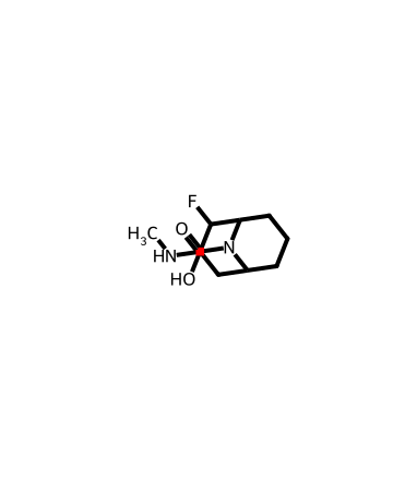 CNC1CC2CCCC(C1F)N2C(=O)O